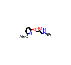 COc1cccc(OCC(O)CNC(C)C)n1